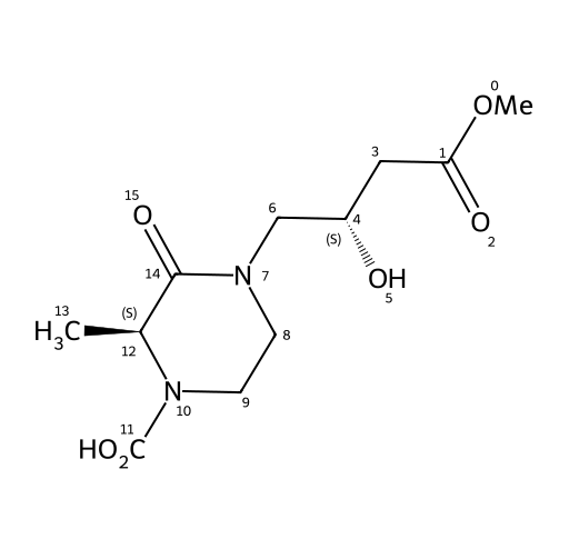 COC(=O)C[C@H](O)CN1CCN(C(=O)O)[C@@H](C)C1=O